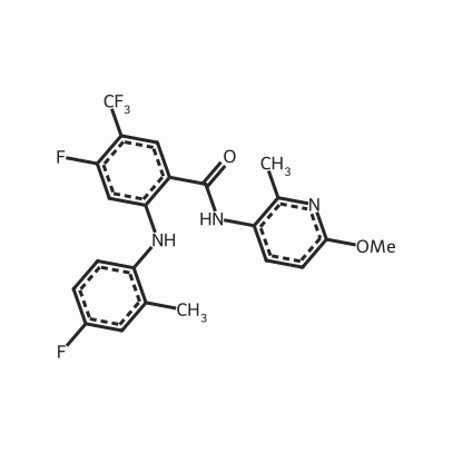 COc1ccc(NC(=O)c2cc(C(F)(F)F)c(F)cc2Nc2ccc(F)cc2C)c(C)n1